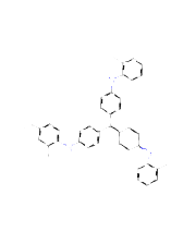 Cc1ccccc1N=C1C=CC(=C(c2ccc(Nc3ccccc3C)cc2)c2ccc(Nc3ccc(S(=O)(=O)O)cc3C)cc2)C=C1